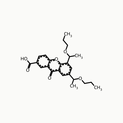 CCCOC(C)c1cc(C(C)OCCC)c2oc3ccc(C(=O)O)cc3c(=O)c2c1